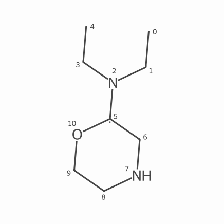 CCN(CC)[C]1CNCCO1